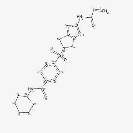 C=CC(=O)Nc1cc2c(s1)CN(S(=O)(=O)c1ccc(C(=O)NC3CCCCC3)cc1)C2